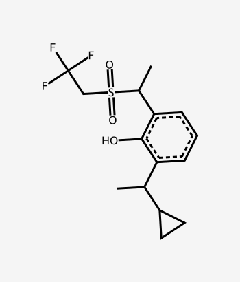 CC(c1cccc(C(C)S(=O)(=O)CC(F)(F)F)c1O)C1CC1